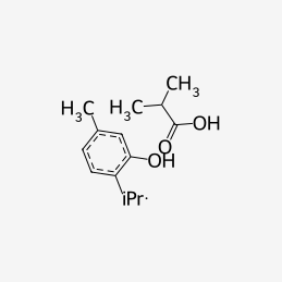 CC(C)C(=O)O.[CH2][C](C)c1ccc(C)cc1O